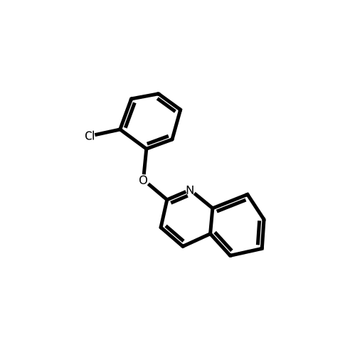 Clc1ccccc1Oc1ccc2ccccc2n1